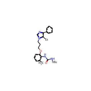 CCCCNC(=O)Nc1c(C)cccc1OCCCn1cnc(-c2ccccc2)c1CC